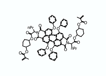 C=C(C)C(=O)OC1CCCC(OC(=O)C(CCC)N2C(=O)c3cc(Oc4ccccc4)c4c5c(Oc6ccccc6)cc6c7c(cc(Oc8ccccc8)c(c8c(Oc9ccccc9)cc(c3c48)C2=O)c75)C(=O)N(C(CCC)C(=O)OC2CCCC(OC(=O)C(=C)C)C2)C6=O)C1